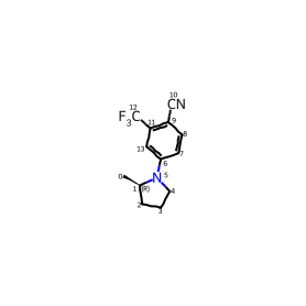 C[C@@H]1CCCN1c1ccc(C#N)c(C(F)(F)F)c1